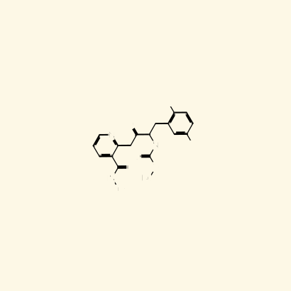 CC(C)(C)NC(=O)c1cccnc1CC(=O)C(Cc1cc(Cl)ccc1F)NC(=O)OC(C)(C)C